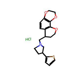 Cl.c1csc(C2CCN(CC3CCOc4c3ccc3c4OCCO3)C2)c1